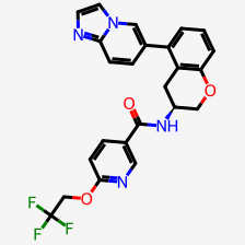 O=C(N[C@@H]1COc2cccc(-c3ccc4nccn4c3)c2C1)c1ccc(OCC(F)(F)F)nc1